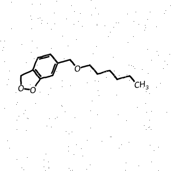 CCCCCCOCc1ccc2c(c1)OOC2